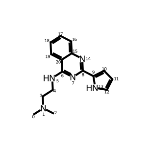 CN(C)CCNc1nc(-c2ccc[nH]2)nc2ccccc12